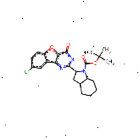 CC(C)(C)OC(=O)N1C(c2nc3c(oc4ccc(Cl)cc43)c(=O)[nH]2)CC2CCCCC21